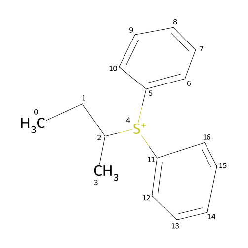 CCC(C)[S+](c1ccccc1)c1ccccc1